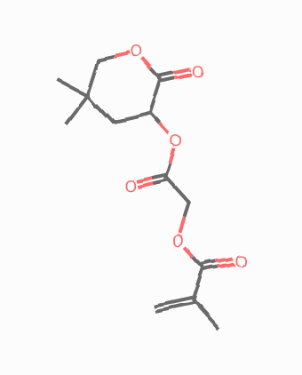 C=C(C)C(=O)OCC(=O)OC1CC(C)(C)COC1=O